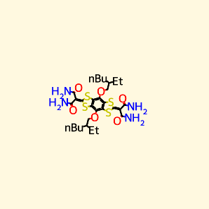 CCCCC(CC)COc1c2c(c(OCC(CC)CCCC)c3c1SC(=C(C(N)=O)C(N)=O)S3)SC(=C(C(N)=O)C(N)=O)S2